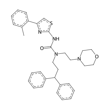 Cc1ccccc1-c1csc(NC(=O)N(CCC(c2ccccc2)c2ccccc2)CCN2CCOCC2)n1